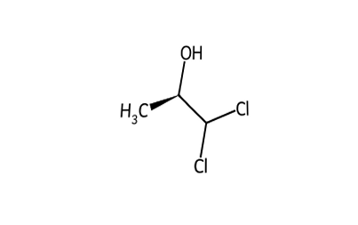 C[C@@H](O)C(Cl)Cl